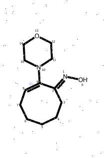 ON=C1CCCCC/C=C\1N1CCOCC1